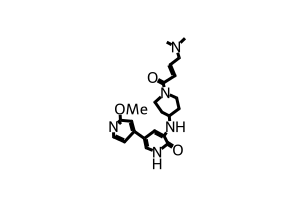 COc1cc(-c2c[nH]c(=O)c(NC3CCN(C(=O)/C=C/CN(C)C)CC3)c2)ccn1